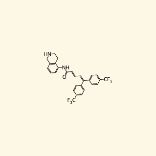 O=C(C=CC=C(c1ccc(C(F)(F)F)cc1)c1ccc(C(F)(F)F)cc1)Nc1cccc2c1CCNC2